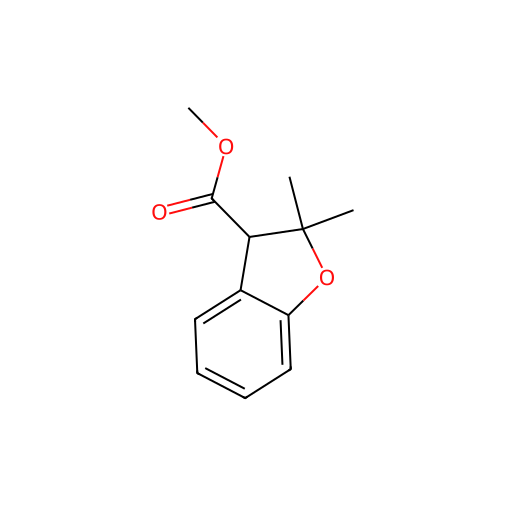 COC(=O)C1c2ccccc2OC1(C)C